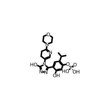 CC(C)c1cc(-c2nnc(O)n2C2=CN=C(N3CCOCC3)CC2)c(O)cc1OP(=O)(O)O